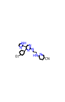 CCc1ccc(-c2nc(N=CCNc3ccc(C#N)cn3)ncc2-c2ncc[nH]2)cc1